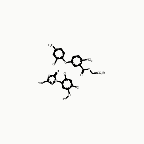 CC(C)Oc1cc(-n2nc(C(C)(C)C)oc2=O)c(Cl)cc1Cl.CCOC(=O)COC(=O)c1cc(Oc2ccc(C(F)(F)F)cc2Cl)ccc1[N+](=O)[O-]